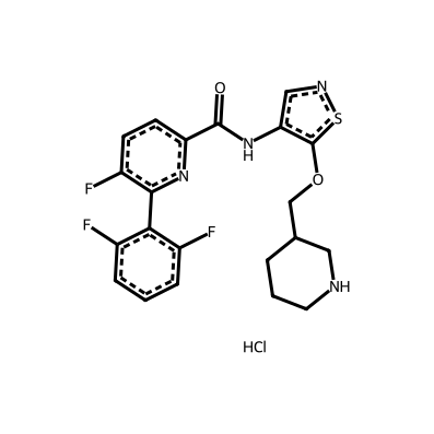 Cl.O=C(Nc1cnsc1OCC1CCCNC1)c1ccc(F)c(-c2c(F)cccc2F)n1